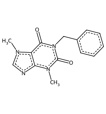 Cn1cnc2c1c(=O)n(Cc1ccccc1)c(=O)n2C